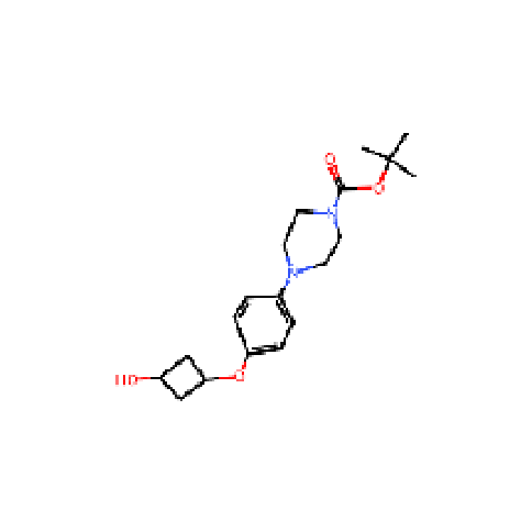 CC(C)(C)OC(=O)N1CCN(c2ccc(OC3CC(O)C3)cc2)CC1